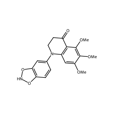 COc1cc2c(c(OC)c1OC)C(=O)CCN2c1ccc2c(c1)ONO2